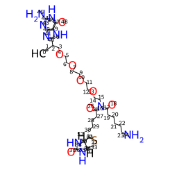 C#CC(COCCOCCOCCOCCN(C(=O)CCCCCN)C(=O)CCCC[C@@H]1SC[C@@H]2NC(=O)N[C@@H]21)c1nc2nc(N)[nH]c(=O)c2[nH]1